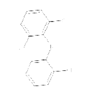 Cc1ccccc1[N]c1c(Cl)cccc1Cl